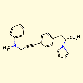 CN(CC#Cc1ccc(CC(C(=O)O)n2cccc2)cc1)c1ccccc1